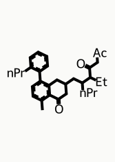 CCCc1ccccc1-c1ccc(C)c2c1CC(CC(CCC)C(CC)C(=O)CC(C)=O)CC2=O